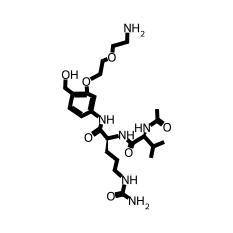 CC(=O)N[C@H](C(=O)N[C@@H](CCCNC(N)=O)C(=O)Nc1ccc(CO)c(OCCOCCN)c1)C(C)C